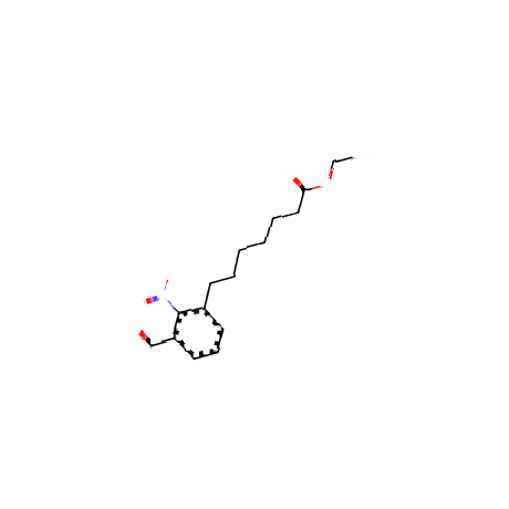 CCOC(=O)CCCCCCc1cccc(C=O)c1[N+](=O)[O-]